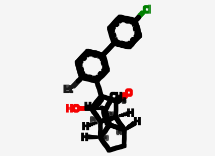 CCc1ccc(-c2ccc(Cl)cc2)cc1C1=C(O)[C@H]2[C@@H](C1=O)[C@@H]1CC[C@H]2C1=C(C)C